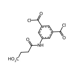 O=C(O)CCC(=O)Nc1cc(C(=O)Cl)cc(C(=O)Cl)c1